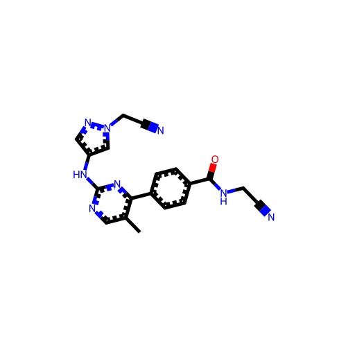 Cc1cnc(Nc2cnn(CC#N)c2)nc1-c1ccc(C(=O)NCC#N)cc1